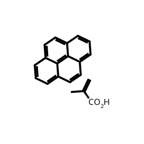 C=C(C)C(=O)O.c1cc2ccc3cccc4ccc(c1)c2c34